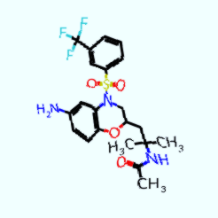 CC(=O)NC(C)(C)CC1CN(S(=O)(=O)c2cccc(C(F)(F)F)c2)c2cc(N)ccc2O1